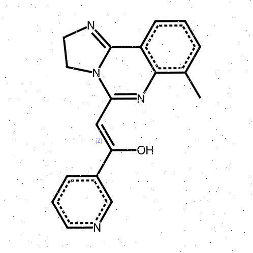 Cc1cccc2c1N=C(/C=C(\O)c1cccnc1)N1CCN=C21